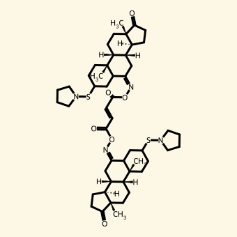 C[C@]12CCC(SN3CCCC3)CC1/C(=N\OC(=O)/C=C/C(=O)O/N=C1/C[C@@H]3[C@@H](CC[C@]4(C)C(=O)CC[C@@H]34)[C@@]3(C)CCC(SN4CCCC4)CC13)C[C@@H]1[C@H]2CC[C@]2(C)C(=O)CC[C@@H]12